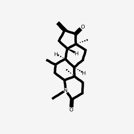 C=C1C[C@H]2[C@@H]3C(C)CC4N(C)C(=O)CC[C@]4(C)[C@@H]3CC[C@]2(C)C1=O